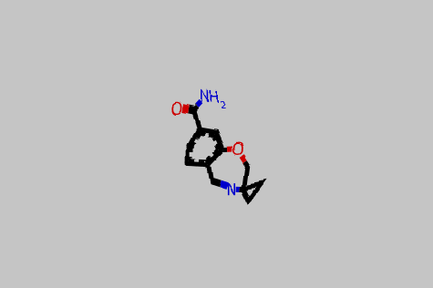 NC(=O)c1ccc2c(c1)OCC1(CC1)N=C2